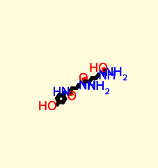 NC(O)NCCC[C@H](N)C(=O)NCCCC(=O)Nc1ccc(CO)cc1